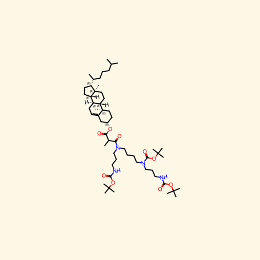 CC(C)CCCC(C)[C@H]1CC[C@H]2[C@@H]3CC=C4C[C@@H](OC(=O)C(C)C(=O)N(CCCCN(CCCNC(=O)OC(C)(C)C)C(=O)OC(C)(C)C)CCCNC(=O)OC(C)(C)C)CC[C@]4(C)[C@H]3CC[C@]12C